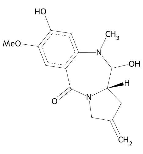 C=C1C[C@H]2C(O)N(C)c3cc(O)c(OC)cc3C(=O)N2C1